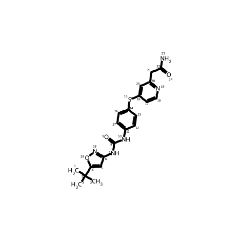 CC(C)(C)c1cc(NC(=O)Nc2ccc(Sc3ccnc(CC(N)=O)c3)cc2)no1